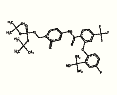 BC(B)(O)c1cc(F)ccc1Oc1cc(C(F)(F)F)ccc1C(=O)Nc1ccn(COP(=O)(OC(C)(C)C)OC(C)(C)C)c(=O)c1